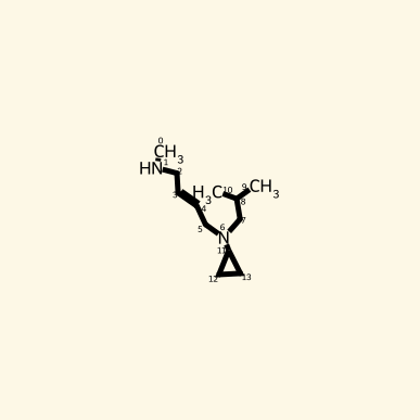 CNCC=CCN(CC(C)C)C1CC1